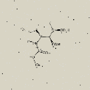 CO[C@H]([C@@H](C)C(=O)O)[C@@H]1C[C@@H](C)CN1C(=O)OC(C)(C)C